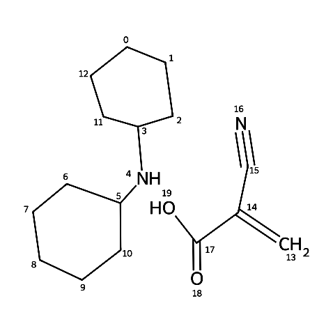 C1CCC(NC2CCCCC2)CC1.C=C(C#N)C(=O)O